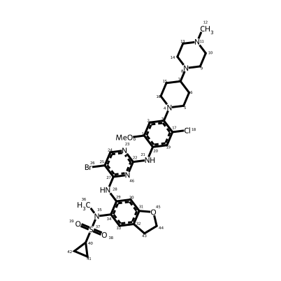 COc1cc(N2CCC(N3CCN(C)CC3)CC2)c(Cl)cc1Nc1ncc(Br)c(Nc2cc3c(cc2N(C)S(=O)(=O)C2CC2)CCO3)n1